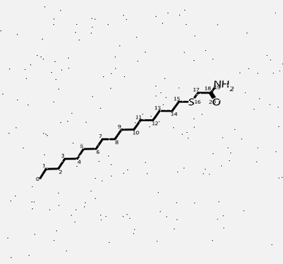 CCCCCCCCCCCCCCCCSCC(N)=O